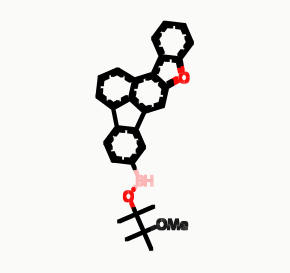 COC(C)(C)C(C)(C)OBc1ccc2c(c1)-c1cc3oc4ccccc4c3c3cccc-2c13